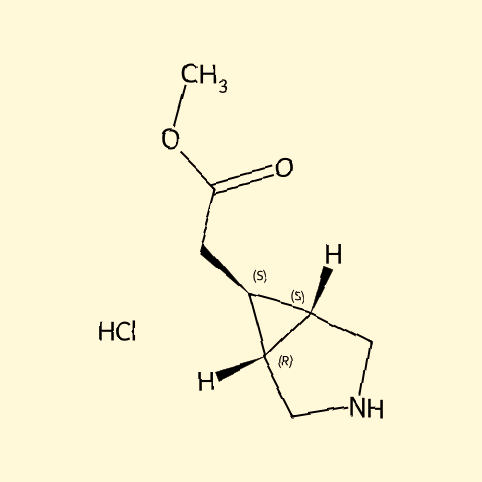 COC(=O)C[C@H]1[C@@H]2CNC[C@@H]21.Cl